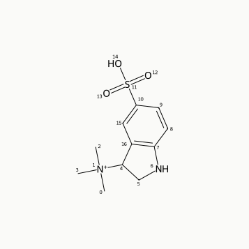 C[N+](C)(C)C1CNc2ccc(S(=O)(=O)O)cc21